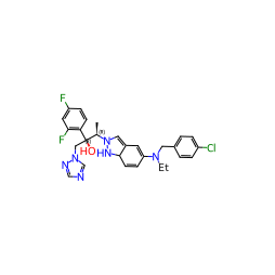 CCN(Cc1ccc(Cl)cc1)C1=CC2=CN([C@H](C)[C@](O)(Cn3cncn3)c3ccc(F)cc3F)NC2C=C1